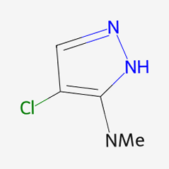 CNc1[nH]ncc1Cl